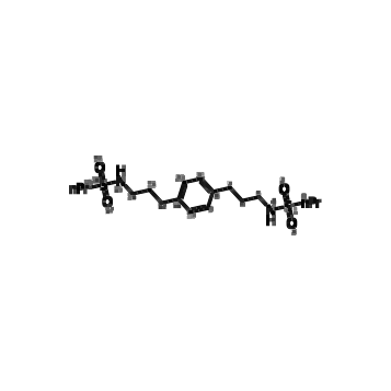 CCCS(=O)(=O)NCCCc1ccc(CCCNS(=O)(=O)CCC)cc1